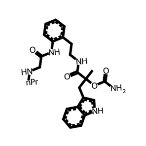 CCCNCC(=O)Nc1ccccc1CCNC(=O)C(C)(Cc1c[nH]c2ccccc12)OC(N)=O